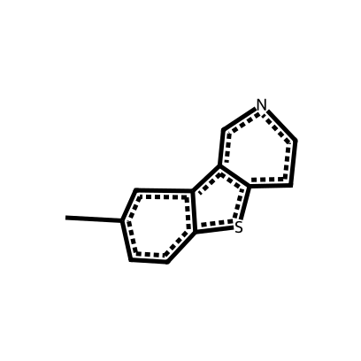 Cc1ccc2sc3ccncc3c2c1